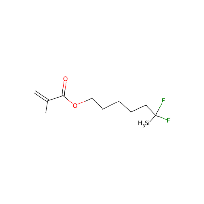 C=C(C)C(=O)OCCCCCC(F)(F)[SiH3]